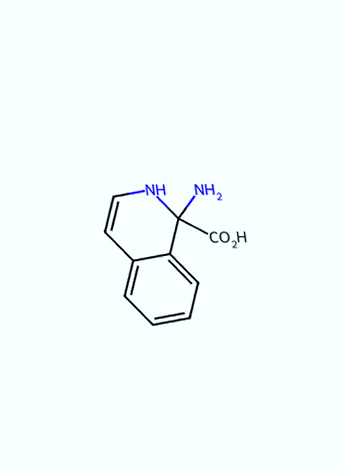 NC1(C(=O)O)NC=Cc2ccccc21